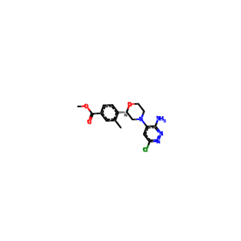 COC(=O)c1ccc([C@H]2CN(c3cc(Cl)nnc3N)CCO2)c(C)c1